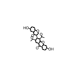 CC(=O)c1cc2c(=O)c3ccc(O)cc3oc2c(C(C)=O)c1-c1coc2ccc(O)cc2c1=O